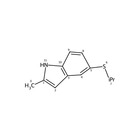 Cc1cc2cc(SC(C)C)ccc2[nH]1